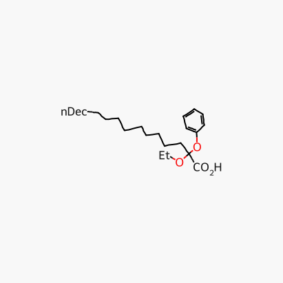 CCCCCCCCCCCCCCCCCCCC(OCC)(Oc1ccccc1)C(=O)O